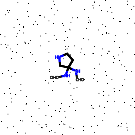 O=[C]NC1(NC=O)CCNC1